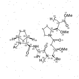 CC[C@H](C)[C@@H]([C@@H](CC(=O)N1CCC[C@H]1C(OC)C(C)C(=O)OC)OC)N(C)C(=O)[C@@H](NC(=O)[C@@H]1[C@H]2CC[C@H](C2)N1C(C)=O)C(C)C